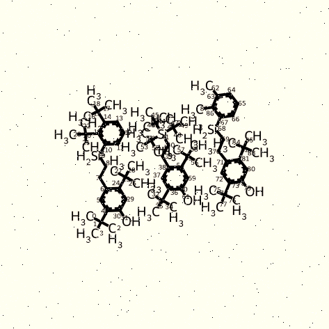 CC(C)(C)c1cc(CC[SiH2]c2cccc(C(C)(C)C)c2C(C)(C)C)c(C(C)(C)C)cc1O.CC(C)(C)c1cc(CC[Si](C(C)(C)C)(C(C)(C)C)C(C)(C)C)c(C(C)(C)C)cc1O.Cc1cccc([SiH2]CCc2cc(C(C)(C)C)c(O)cc2C(C)(C)C)c1C